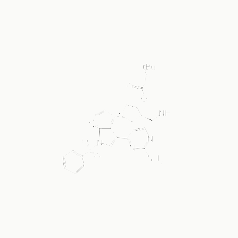 CC(C)(C)OC(=O)O[C@H]1CN(c2ccnc3c2c(-c2ccnc(N)n2)cn3S(=O)(=O)c2ccccc2)C[C@@H]1CN